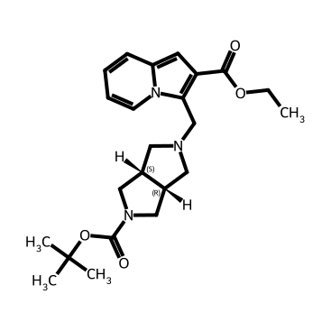 CCOC(=O)c1cc2ccccn2c1CN1C[C@@H]2CN(C(=O)OC(C)(C)C)C[C@@H]2C1